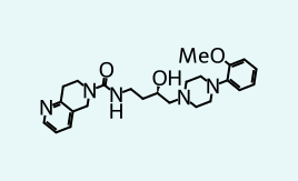 COc1ccccc1N1CCN(C[C@H](O)CCNC(=O)N2CCc3ncccc3C2)CC1